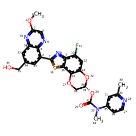 COc1cnc2c(-c3nc4c(F)cc5c(c4s3)OC[C@@H](OC(=O)N(C)c3ccnc(C)c3)O5)cc(CO)cc2n1